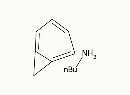 CCCCN.c1ccc2c(c1)C2